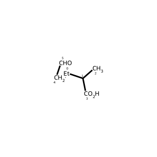 CCC(C)C(=O)O.[CH2]C=O